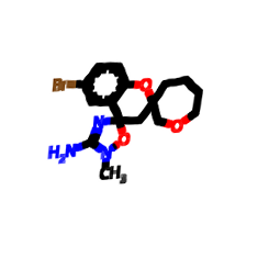 CN1OC2(CC3(CCCCOC3)Oc3ccc(Br)cc32)N=C1N